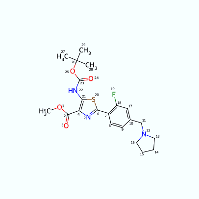 COC(=O)c1nc(-c2ccc(CN3CCCC3)cc2F)sc1NC(=O)OC(C)(C)C